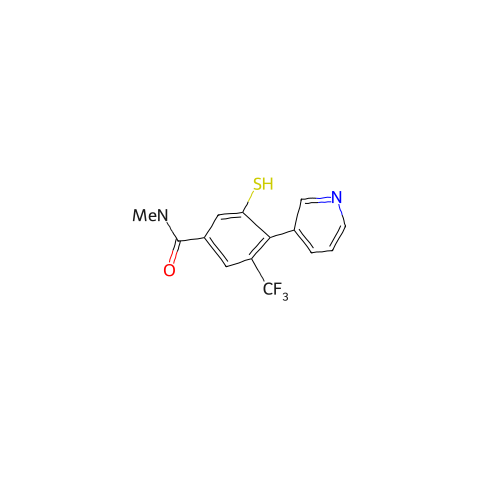 CNC(=O)c1cc(S)c(-c2cccnc2)c(C(F)(F)F)c1